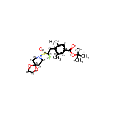 Cc1cc(C(=O)OC(C)(C)C)cc(C)c1CC(F)[S@+]([O-])N1CCC2(CC1)OCCO2